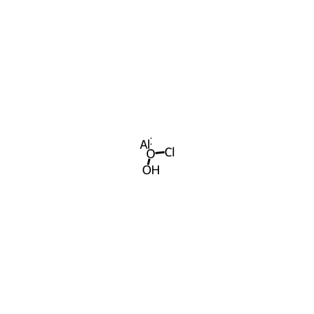 OOCl.[Al]